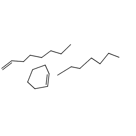 C1=CCCCC1.C=CCCCCCC.CCCCCCC